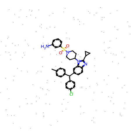 Cc1ccc(C(c2ccc(Cl)cc2)c2ccc3nc(C4CC4)n(C4CCN(S(=O)(=O)c5cccc(N)c5)CC4)c3c2)cc1